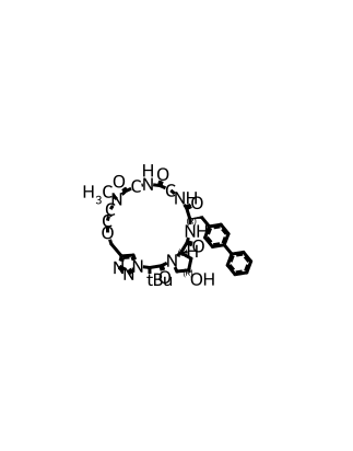 CN1CCOCc2cn(nn2)C(C(C)(C)C)C(=O)N2C[C@H](O)C[C@H]2C(=O)N[C@H](Cc2ccc(-c3ccccc3)cc2)C(=O)NCC(=O)NCC1=O